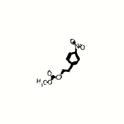 COC(=O)OCCc1ccc([N+](=O)[O-])cc1